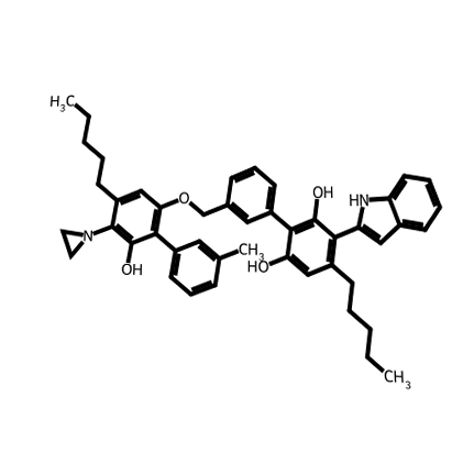 CCCCCc1cc(O)c(-c2cccc(COc3cc(CCCCC)c(N4CC4)c(O)c3-c3cccc(C)c3)c2)c(O)c1-c1cc2ccccc2[nH]1